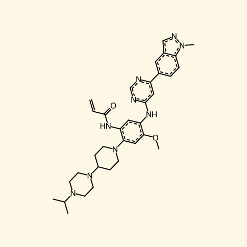 C=CC(=O)Nc1cc(Nc2cc(-c3ccc4c(cnn4C)c3)ncn2)c(OC)cc1N1CCC(N2CCN(C(C)C)CC2)CC1